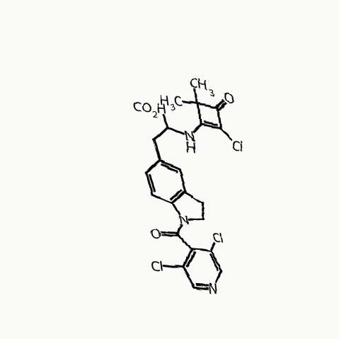 CC1(C)C(=O)C(Cl)=C1NC(Cc1ccc2c(c1)CCN2C(=O)c1c(Cl)cncc1Cl)C(=O)O